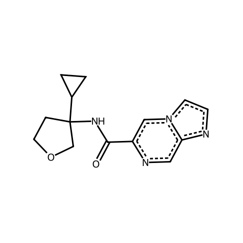 O=C(NC1(C2CC2)CCOC1)c1cn2ccnc2cn1